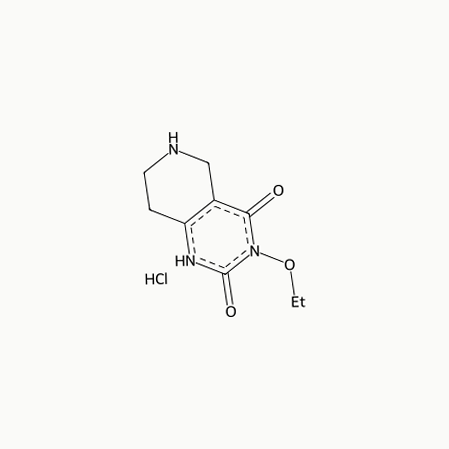 CCOn1c(=O)[nH]c2c(c1=O)CNCC2.Cl